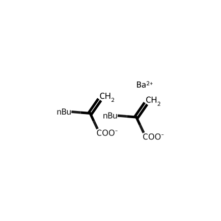 C=C(CCCC)C(=O)[O-].C=C(CCCC)C(=O)[O-].[Ba+2]